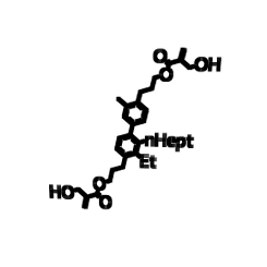 C=C(CO)C(=O)OCCCc1ccc(-c2ccc(CCCOC(=O)C(=C)CO)c(CC)c2CCCCCCC)cc1C